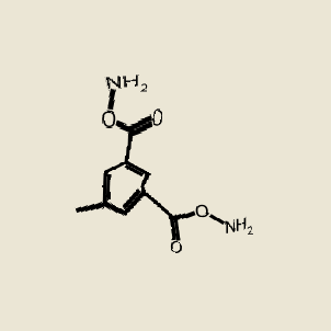 Cc1cc(C(=O)ON)cc(C(=O)ON)c1